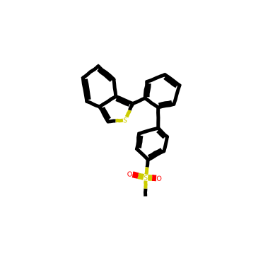 CS(=O)(=O)c1ccc(-c2ccccc2-c2scc3ccccc23)cc1